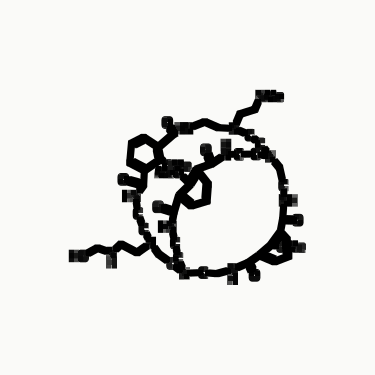 CNCCN1CCNC(=O)c2cccc(c2OC)C(=O)NCCN(CCNCO)CCN2CCNC(=O)c3cccc(c3OC)C(=O)NCCN(CCNC(=O)c3cccc(c3OC)C(=O)NCC2)CC1